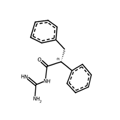 N=C(N)NC(=O)[C@H](Cc1ccccc1)c1ccccc1